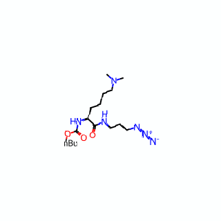 CCCCOC(=O)N[C@@H](CCCCN(C)C)C(=O)NCCCN=[N+]=[N-]